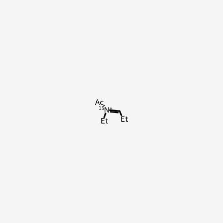 CC(=O)/[15N+](=C/C[13CH3])[13CH2][13CH3]